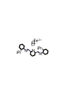 CC(C)c1ccccc1/N=C/c1cccc(/C=N/c2ccccc2C(C)C)n1.[Cl-].[Cl-].[Fe+2]